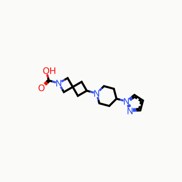 O=C(O)N1CC2(CC(N3CCC(n4cccn4)CC3)C2)C1